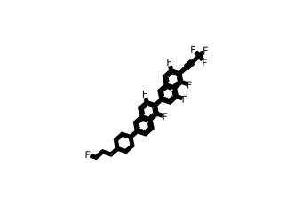 FCCCC1CCC(c2ccc3c(F)c(-c4cc(F)c5c(F)c(C#CC(F)(F)F)c(F)cc5c4)c(F)cc3c2)CC1